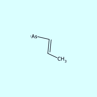 CC=C[As]